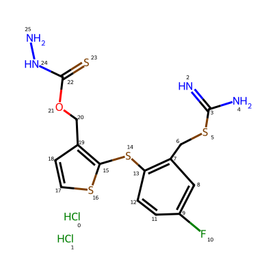 Cl.Cl.N=C(N)SCc1cc(F)ccc1Sc1sccc1COC(=S)NN